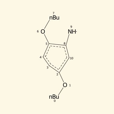 CCCCOc1ccc(OCCCC)c([NH])c1